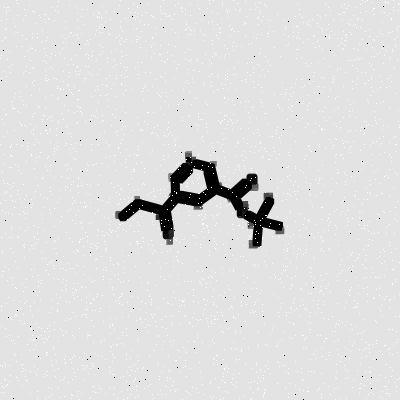 CCC(=O)c1cncc(C(=O)OC(C)(C)C)c1